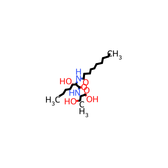 CCCCCCCCCC(=O)NC(C(=O)NC(C(=O)O)C(C)O)C(O)CCCCC